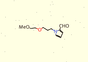 COCCOCCCn1cccc1C=O